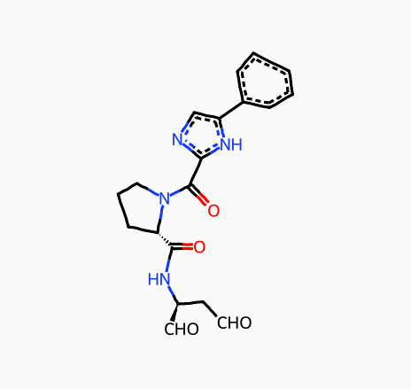 O=CC[C@@H](C=O)NC(=O)[C@@H]1CCCN1C(=O)c1ncc(-c2ccccc2)[nH]1